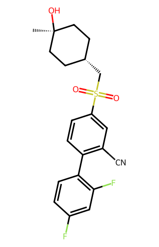 C[C@]1(O)CC[C@H](CS(=O)(=O)c2ccc(-c3ccc(F)cc3F)c(C#N)c2)CC1